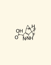 O=C(O)c1n[nH]c2c1C1C[C@H]1C2(F)F